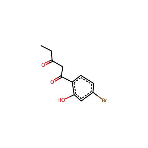 CCC(=O)CC(=O)c1ccc(Br)cc1O